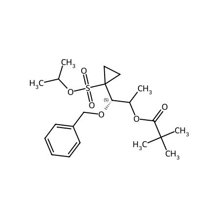 CC(C)OS(=O)(=O)C1([C@@H](OCc2ccccc2)C(C)OC(=O)C(C)(C)C)CC1